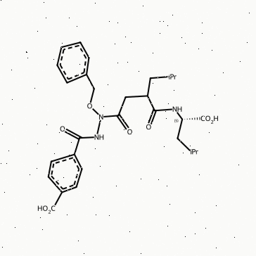 CC(C)CC(CC(=O)N(NC(=O)c1ccc(C(=O)O)cc1)OCc1ccccc1)C(=O)N[C@@H](CC(C)C)C(=O)O